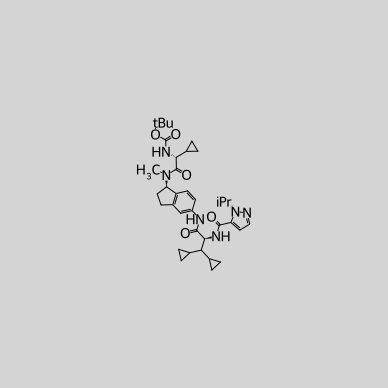 CC(C)n1nccc1C(=O)N[C@H](C(=O)Nc1ccc2c(c1)CC[C@H]2N(C)C(=O)[C@H](NC(=O)OC(C)(C)C)C1CC1)C(C1CC1)C1CC1